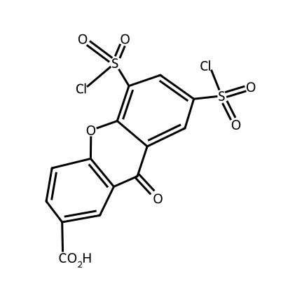 O=C(O)c1ccc2oc3c(S(=O)(=O)Cl)cc(S(=O)(=O)Cl)cc3c(=O)c2c1